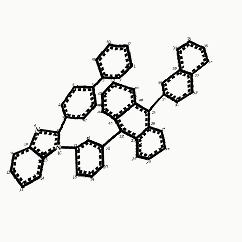 c1ccc(-c2ccc(-c3nc4ccccc4n3-c3cccc(-c4c5ccccc5c(-c5ccc6ccccc6c5)c5ccccc45)c3)cc2)cc1